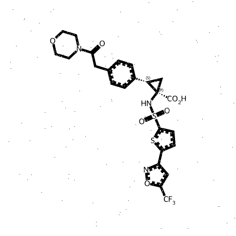 O=C(Cc1ccc([C@@H]2C[C@]2(NS(=O)(=O)c2ccc(-c3cc(C(F)(F)F)on3)s2)C(=O)O)cc1)N1CCOCC1